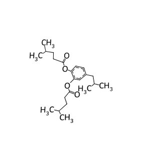 CC(C)CCC(=O)Oc1ccc(CC(C)C)cc1OC(=O)CCC(C)C